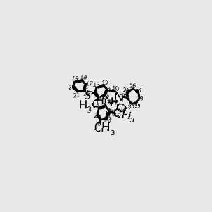 Cc1cc(C)c(NC(=O)N(Cc2ccc(Sc3ccccc3)cc2)C2CCCCCC2)c(C)c1